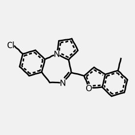 Cc1cccc2oc(C3=NCc4ccc(Cl)cc4-n4cccc43)cc12